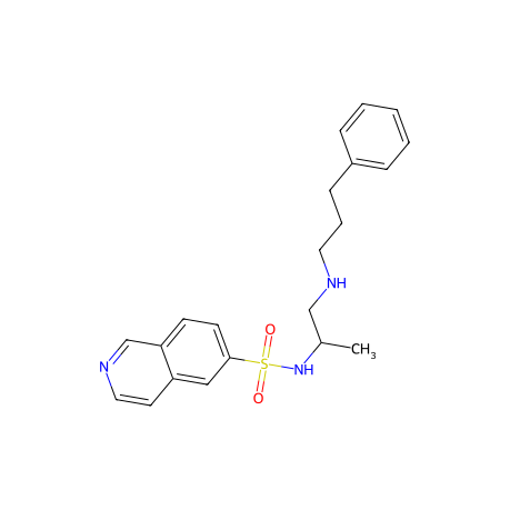 CC(CNCCCc1ccccc1)NS(=O)(=O)c1ccc2cnccc2c1